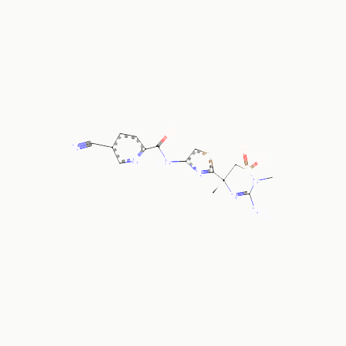 CN1C(N)=N[C@](C)(c2nc(NC(=O)c3ccc(C#N)cn3)cs2)CS1(=O)=O